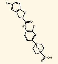 O=C(Nc1ccc(C23CCC(C(=O)O)(CC2)CC3)cc1F)N1Cc2ccc(F)cc2C1